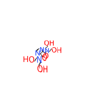 O=C(c1nccnc1C(=O)N(CCO)CCO)N(CCO)CCO